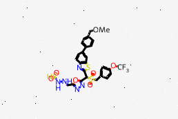 COCc1ccc(-c2ccc3nc(C(c4nnc(CNN[SH](=O)=O)o4)S(=O)(=O)Cc4ccc(OC(F)(F)F)cc4)sc3c2)cc1